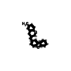 Cc1ccc2c(c1)CC(Cc1ccc3oc4ccccc4c3c1)CO2